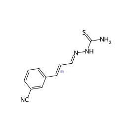 N#Cc1cccc(/C=C/C=NNC(N)=S)c1